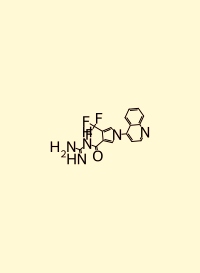 N=C(N)NC(=O)c1cn(-c2ccnc3ccccc23)cc1C(F)(F)F